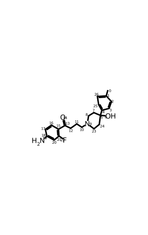 Cc1ccc(C2(O)CCN(CCCC(=O)c3ccc(N)cc3F)CC2)cc1